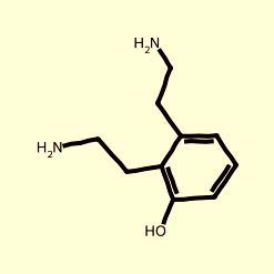 NCCc1cccc(O)c1CCN